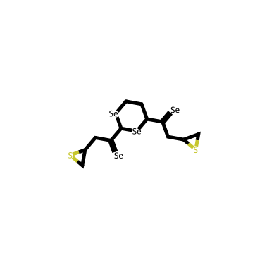 [Se]=C(CC1CS1)C1CC[Se]C(C(=[Se])CC2CS2)[Se]1